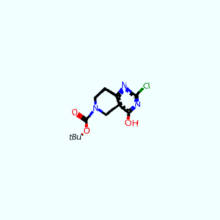 CC(C)(C)OC(=O)N1CCc2nc(Cl)nc(O)c2C1